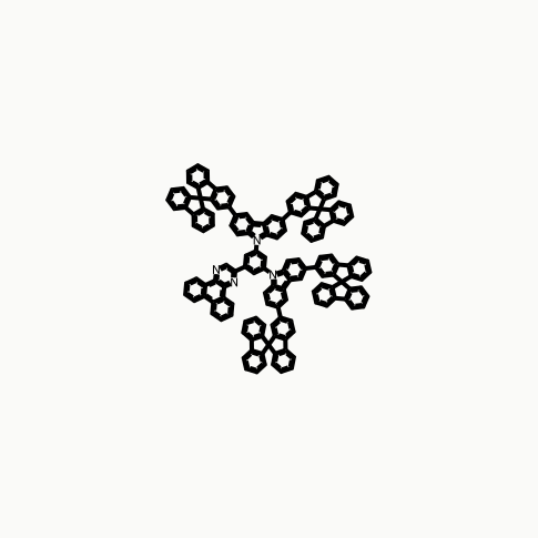 c1ccc2c(c1)-c1ccccc1C21c2ccccc2-c2ccc(-c3ccc4c(c3)c3cc(-c5ccc6c(c5)C5(c7ccccc7-c7ccccc75)c5ccccc5-6)ccc3n4-c3cc(-c4cnc5c6ccccc6c6ccccc6c5n4)cc(-n4c5ccc(-c6ccc7c(c6)C6(c8ccccc8-c8ccccc86)c6ccccc6-7)cc5c5cc(-c6ccc7c(c6)C6(c8ccccc8-c8ccccc86)c6ccccc6-7)ccc54)c3)cc21